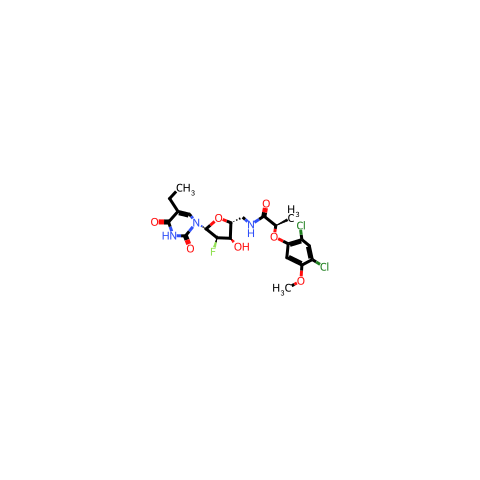 CCc1cn([C@@H]2O[C@H](CNC(=O)[C@@H](C)Oc3cc(OC)c(Cl)cc3Cl)[C@@H](O)[C@H]2F)c(=O)[nH]c1=O